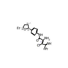 CCCC(=N)/C(Cl)=C(\N)C(=O)Nc1ccc([C@H]2O[C@H](CC)C[C@@H]2C)cc1